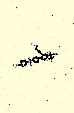 COCC#Cc1cc([C@](C)(O)C(F)(F)F)cnc1-c1ccc(S(=O)(=O)c2ccc(N)nc2)cc1